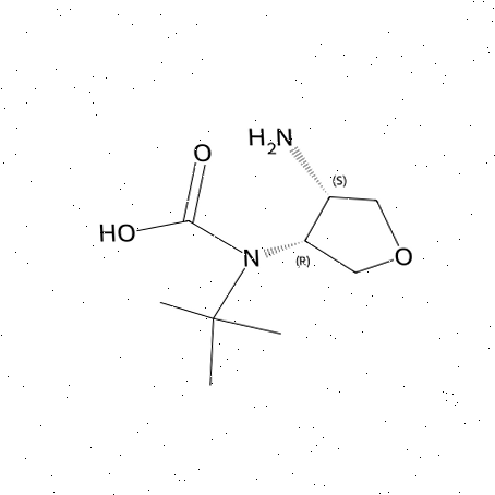 CC(C)(C)N(C(=O)O)[C@H]1COC[C@H]1N